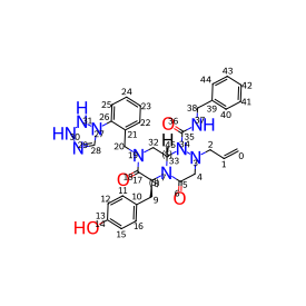 C=CCN1CC(=O)N2[C@@H](Cc3ccc(O)cc3)C(=O)N(Cc3ccccc3N3C=NNN3)C[C@@H]2N1C(=O)NCc1ccccc1